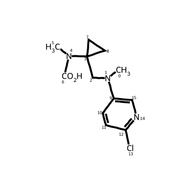 CN(CC1(N(C)C(=O)O)CC1)c1ccc(Cl)nc1